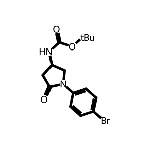 CC(C)(C)OC(=O)NC1CC(=O)N(c2ccc(Br)cc2)C1